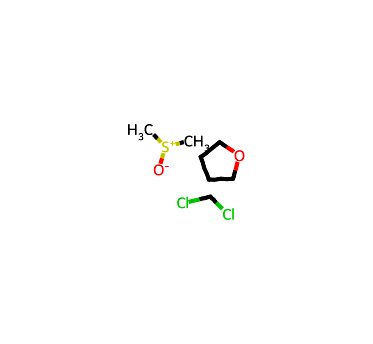 C1CCOC1.C[S+](C)[O-].ClCCl